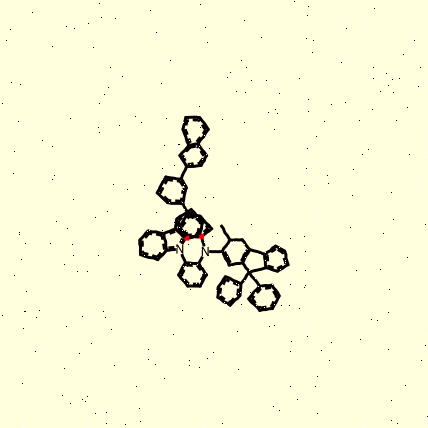 CC1CC2=C(C=C1N(c1ccc(-c3cccc(-c4ccc5ccccc5c4)c3)cc1)c1ccccc1-n1c3ccccc3c3ccccc31)C(c1ccccc1)(c1ccccc1)c1ccccc12